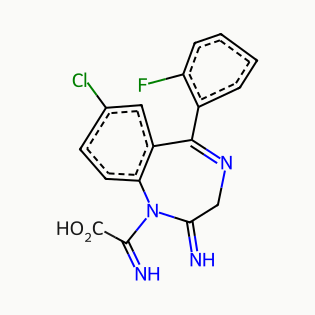 N=C1CN=C(c2ccccc2F)c2cc(Cl)ccc2N1C(=N)C(=O)O